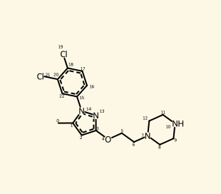 Cc1cc(OCCN2CCNCC2)nn1-c1ccc(Cl)c(Cl)c1